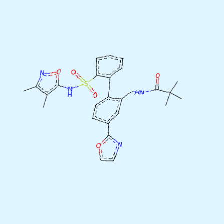 Cc1noc(NS(=O)(=O)c2ccccc2-c2ccc(-c3ncco3)cc2CNC(=O)C(C)(C)C)c1C